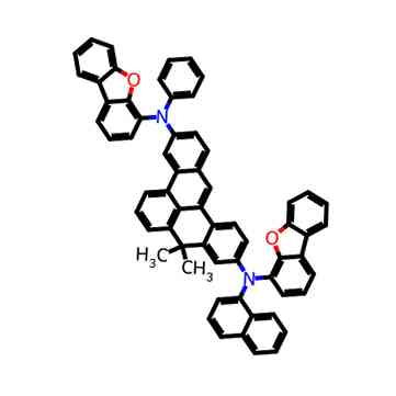 CC1(C)c2cc(N(c3cccc4ccccc34)c3cccc4c3oc3ccccc34)ccc2-c2cc3ccc(N(c4ccccc4)c4cccc5c4oc4ccccc45)cc3c3cccc1c23